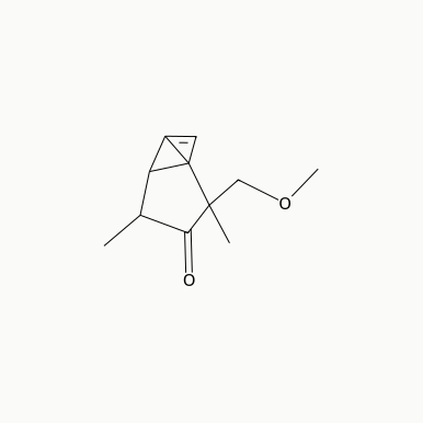 COCC1(C)C(=O)C(C)C2C3=CC321